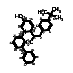 CC(Cc1ccc(C(C)(C)C)cc1)C1C=CC(O)=CN1c1cccc(-c2ccccc2)c1